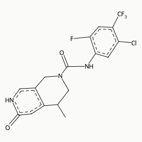 CC1CN(C(=O)Nc2cc(Cl)c(C(F)(F)F)cc2F)Cc2c[nH]c(=O)cc21